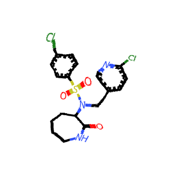 O=C1NCCCCC1N(Cc1ccc(Cl)nc1)S(=O)(=O)c1ccc(Cl)cc1